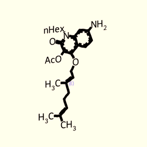 CCCCCCn1c(=O)c(OC(C)=O)c(OC/C=C(\C)CCC=C(C)C)c2ccc(N)cc21